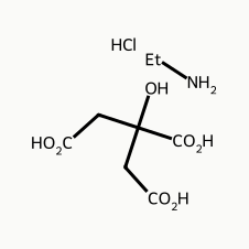 CCN.Cl.O=C(O)CC(O)(CC(=O)O)C(=O)O